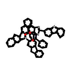 CC1C/C=C(c2cccc(-c3ccccc3)c2)/N=C(c2ccc3c(c2)sc2ccccc23)\N=C/1c1cc2c(cc1-n1c3cc4ccccc4cc3c3cc4ccccc4cc31)Cc1ccccc1-2